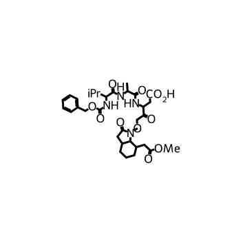 COC(=O)CC1CCCC2CC(=O)N(OCC(=O)C(CC(=O)O)NC(=O)C(C)NC(=O)C(NC(=O)OCc3ccccc3)C(C)C)C12